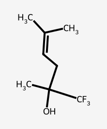 CC(C)=CCC(C)(O)C(F)(F)F